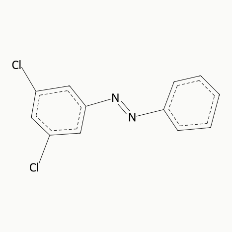 Clc1cc(Cl)cc(N=Nc2ccccc2)c1